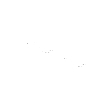 C=COCC=COF